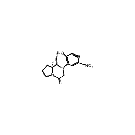 COc1ccc([N+](=O)[O-])cc1N1CC(=O)N2CCC[C@H]2C1=O